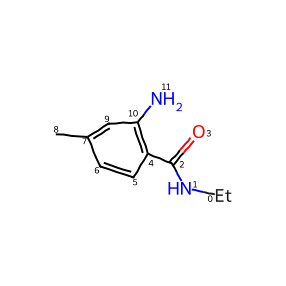 CCNC(=O)c1ccc(C)cc1N